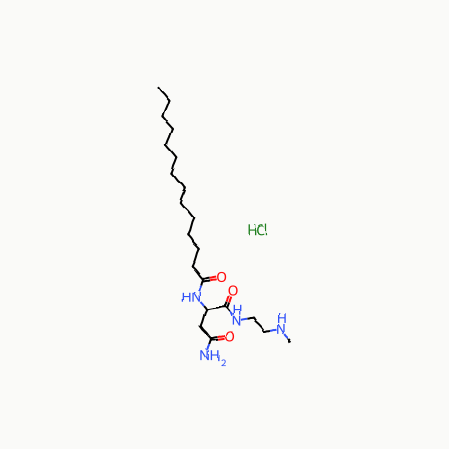 CCCCCCCCCCCCCC(=O)NC(CC(N)=O)C(=O)NCCNC.Cl